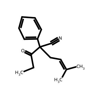 CCC(=O)C(C#N)(CC=C(C)C)c1ccccc1